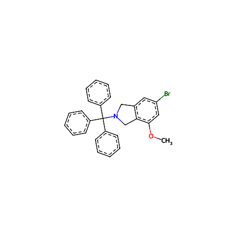 COc1cc(Br)cc2c1CN(C(c1ccccc1)(c1ccccc1)c1ccccc1)C2